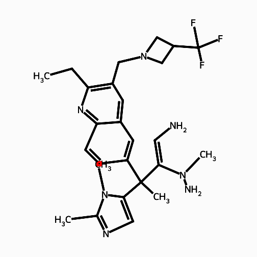 CCc1nc2ccc(C(C)(/C(=C/N)N(C)N)c3cnc(C)n3C)cc2cc1CN1CC(C(F)(F)F)C1